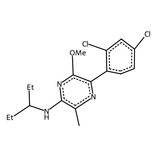 CCC(CC)Nc1nc(OC)c(-c2ccc(Cl)cc2Cl)nc1C